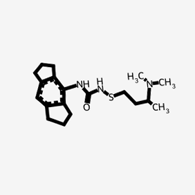 CC(CCSNC(=O)Nc1c2c(cc3c1CCC3)CCC2)N(C)C